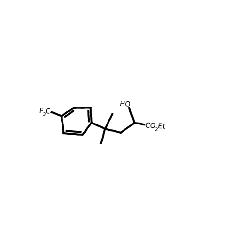 CCOC(=O)C(O)CC(C)(C)c1ccc(C(F)(F)F)cc1